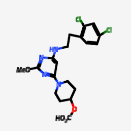 COc1nc(NCCc2ccc(Cl)cc2Cl)cc(N2CCC(OC(=O)O)CC2)n1